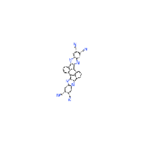 N#Cc1cc2nc3c4cccc5c4c(c4cccc6c7nc8cc(C#N)c(C#N)cc8nc7c5c64)c3nc2cc1C#N